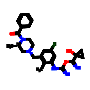 Cc1c(CN2CCN(C(=O)c3ccccc3)[C@@H](C)C2)cc(Cl)cc1NC(=N)OC(=N)C1(O)CC1